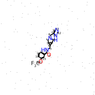 O=C(NCC1C2CN(Cc3cnc[nH]3)CC12)c1cccc(OC(F)(F)F)c1